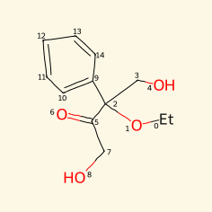 CCOC(CO)(C(=O)CO)c1ccccc1